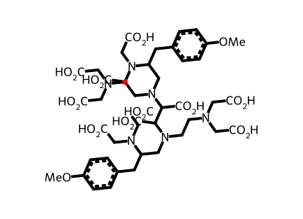 COc1ccc(CC(CN(CCN(CC(=O)O)CC(=O)O)C(C(=O)O)C(C(=O)O)N(CCN(CC(=O)O)CC(=O)O)CC(Cc2ccc(OC)cc2)N(CC(=O)O)CC(=O)O)N(CC(=O)O)CC(=O)O)cc1